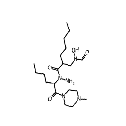 CCCCCC(CN(O)C=O)C(=O)N(N)[C@H](CCCC)C(=O)N1CCN(C)CC1